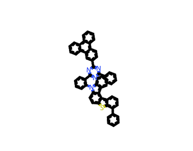 c1ccc(-c2nc(-c3ccc4c5ccccc5c5ccccc5c4c3)nc(-c3ccccc3-n3c4ccccc4c4c5c(ccc43)sc3c(-c4ccccc4)cccc35)n2)cc1